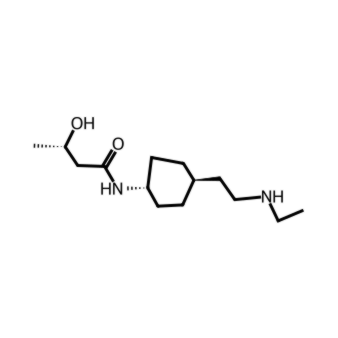 CCNCC[C@H]1CC[C@H](NC(=O)C[C@H](C)O)CC1